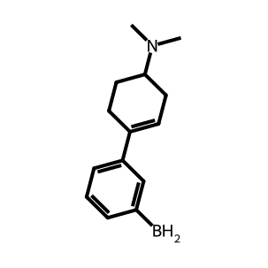 Bc1cccc(C2=CCC(N(C)C)CC2)c1